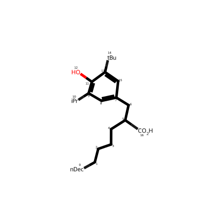 CCCCCCCCCCCCCCC(Cc1cc(C(C)C)c(O)c(C(C)(C)C)c1)C(=O)O